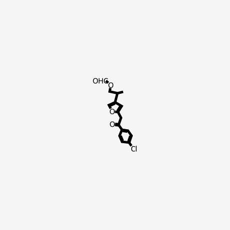 CC(COC=O)c1coc(CC(=O)c2ccc(Cl)cc2)c1